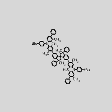 Cc1cc(N(c2ccc(C(C)(C)C)cc2)c2cc(C)c(-c3ccc4c(c3)C3(CC4(C)c4ccccc4)CC(C)(c4ccccc4)c4ccc(-c5cc(C)c(N(c6ccc(C(C)(C)C)cc6)c6ccc(-c7ccccc7)c(C)c6)cc5C)cc43)cc2C)ccc1-c1ccccc1